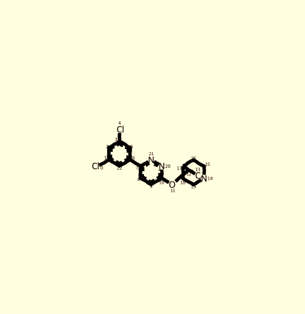 Clc1cc(Cl)cc(-c2ccc(OC3CN4CCC3CC4)nn2)c1